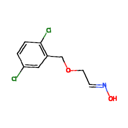 ON=CCOCc1cc(Cl)ccc1Cl